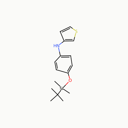 CC(C)(C)[Si](C)(C)Oc1ccc(Nc2ccsc2)cc1